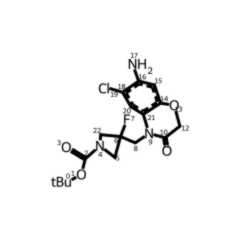 CC(C)(C)OC(=O)N1CC(F)(CN2C(=O)COc3cc(N)c(Cl)cc32)C1